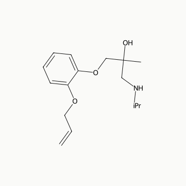 C=CCOc1ccccc1OCC(C)(O)CNC(C)C